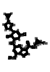 CNc1cc(Nc2cc(Cl)cn(-c3ccn(C4CC4)n3)c2=O)nc2c(C(=O)N[C@H]3C[C@H]3F)cnn12